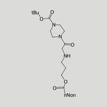 CCCCCCCCCC(=O)OCCCNCC(=O)N1CCN(C(=O)OC(C)(C)C)CC1